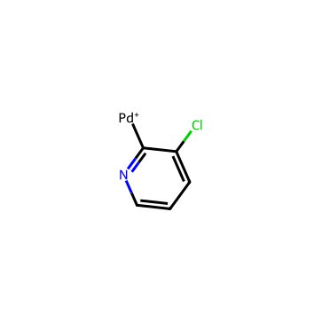 Clc1cccn[c]1[Pd+]